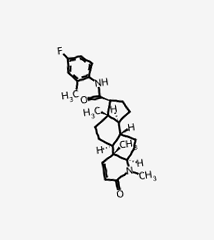 Cc1cc(F)ccc1NC(=O)[C@H]1CC[C@H]2[C@@H]3CC[C@H]4N(C)C(=O)C=C[C@]4(C)[C@H]3CC[C@]12C